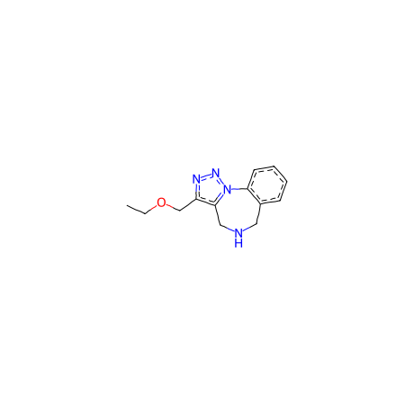 CCOCc1nnn2c1CNCc1ccccc1-2